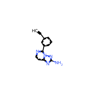 C#Cc1cccc(-c2nccc3nc(N)nn23)c1